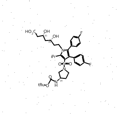 CC(C)c1c(S(=O)(=O)N2CC[C@@H](NC(=O)OC(C)(C)C)C2)c(-c2ccc(F)cc2)c(-c2ccc(F)cc2)n1CC[C@@H](O)C[C@@H](O)CC(=O)O